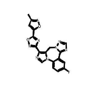 Cc1cc(-c2nc(-c3ncn4c3Cn3ncnc3-c3cc(F)ccc3-4)no2)on1